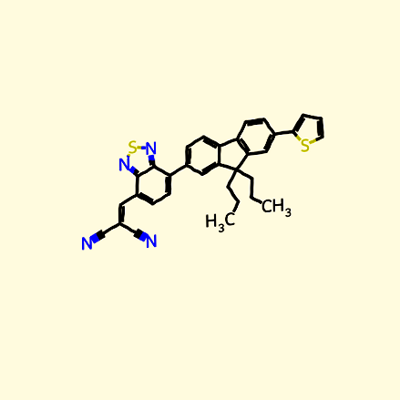 CCCC1(CCC)c2cc(-c3cccs3)ccc2-c2ccc(-c3ccc(C=C(C#N)C#N)c4nsnc34)cc21